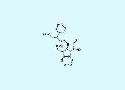 CCN1C(=O)N(COC(COC)c2ccccc2)C2C1N(COC)C(=O)N2COC